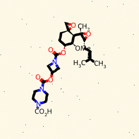 CO[C@@H]1[C@H](OC(=O)N2CC(OC(=O)N3CCN(C(=O)O)CC3)C2)CC[C@]2(CO2)[C@H]1[C@@]1(C)O[C@@H]1CC=C(C)C